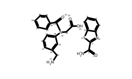 NC(=O)c1nc2ccccc2s1.NCc1cccc(N(CC(=O)O)C(=O)c2ccccc2)c1